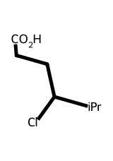 CC(C)C(Cl)CCC(=O)O